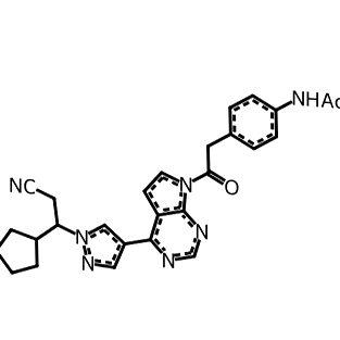 CC(=O)Nc1ccc(CC(=O)n2ccc3c(-c4cnn(C(CC#N)C5CCCC5)c4)ncnc32)cc1